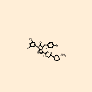 C[C@H](NC(=O)c1cnc2n1[C@](C)(Cc1ccc(Br)cc1)C(=O)N2c1cc(Cl)cc(Cl)c1)C(=O)N1CCC[C@@H](N)C1